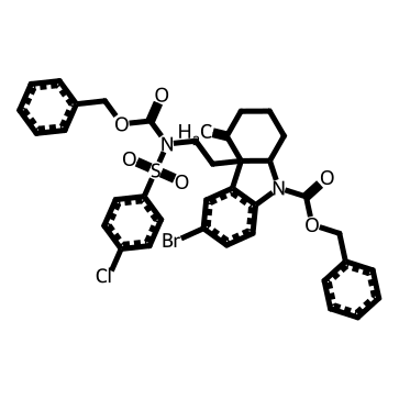 C=C1CCCC2N(C(=O)OCc3ccccc3)c3ccc(Br)cc3C12CCN(C(=O)OCc1ccccc1)S(=O)(=O)c1ccc(Cl)cc1